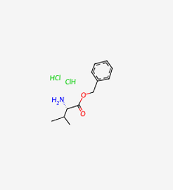 CC(C)[C@H](N)C(=O)OCc1ccccc1.Cl.Cl